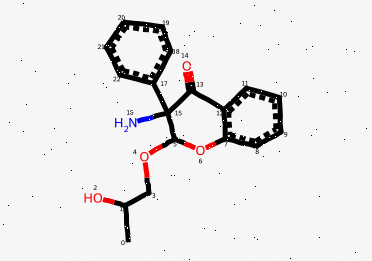 CC(O)COC1Oc2ccccc2C(=O)C1(N)c1ccccc1